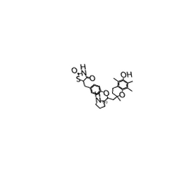 Cc1c(C)c2c(c(C)c1O)CCC(C)(CC(Oc1ccc(CC3SC(=O)NC3=O)cc1)[C@H]1CCCN1)O2